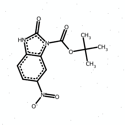 CC(C)(C)OC(=O)n1c(=O)[nH]c2ccc([N+](=O)[O-])cc21